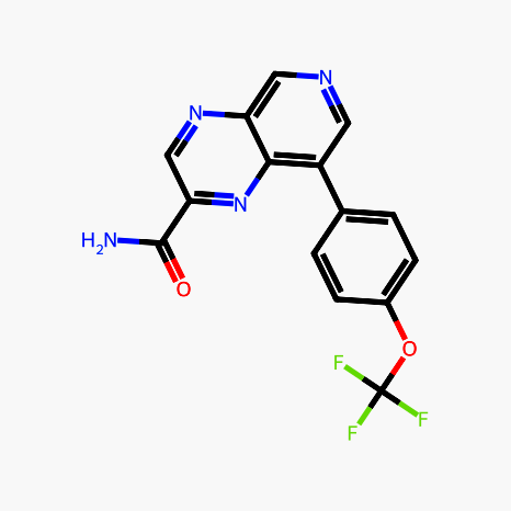 NC(=O)c1cnc2cncc(-c3ccc(OC(F)(F)F)cc3)c2n1